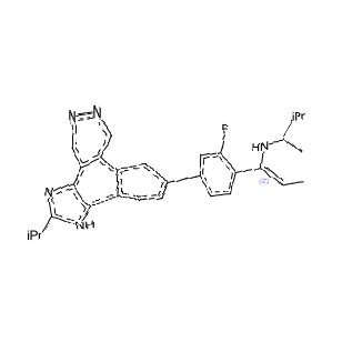 C/C=C(\NC(C)C(C)C)c1ccc(-c2ccc3c(c2)c2cnncc2c2nc(C(C)C)[nH]c32)cc1F